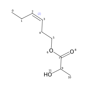 CC/C=C\CCOC(=O)C(C)O